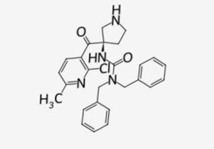 Cc1ccc(C(=O)[C@@]2(NC(=O)N(Cc3ccccc3)Cc3ccccc3)CCNC2)c(Cl)n1